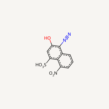 N#[N+]c1c(O)cc(S(=O)(=O)O)c2c([N+](=O)[O-])cccc12